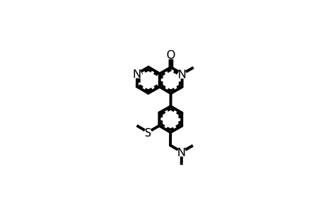 CSc1cc(-c2cn(C)c(=O)c3cnccc23)ccc1CN(C)C